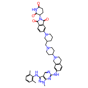 Cc1cccc(C)c1Nc1nn(C)c2nc(Nc3ccc4c(c3)CN(C3CCN(CC5CCCN(c6ccc7c(c6)C(=O)N(C6CCC(=O)NC6=O)C7=O)C5)CC3)CC4)ncc12